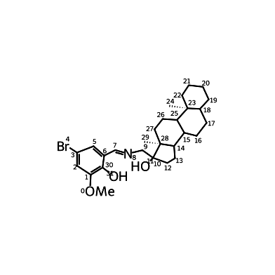 COc1cc(Br)cc(/C=N/CC2(O)CCC3C4CCC5CCCC[C@]5(C)C4CC[C@@]32C)c1O